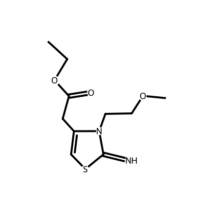 CCOC(=O)Cc1csc(=N)n1CCOC